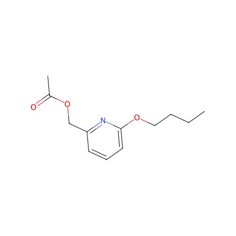 CCCCOc1cccc(COC(C)=O)n1